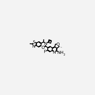 Cc1nc2ccc(C(C)N(C(=O)c3cc4c5c(c(N)nc4cc3F)[C@@H](C)OC5)C34CC(C3)C4)cc2s1